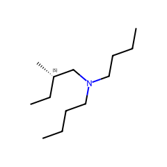 CCCCN(CCCC)C[C@@H](C)CC